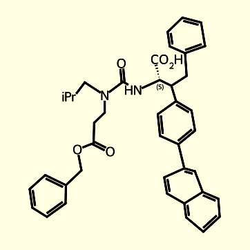 CC(C)CN(CCC(=O)OCc1ccccc1)C(=O)N[C@H](C(=O)O)C(Cc1ccccc1)c1ccc(-c2ccc3ccccc3c2)cc1